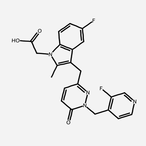 Cc1c(Cc2ccc(=O)n(Cc3ccncc3F)n2)c2cc(F)ccc2n1CC(=O)O